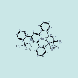 CC(C)(C)c1ccccc1-c1nc(-c2ccccc2)nc(-c2ccccc2B2OC(C)(C)C(C)(C)O2)n1